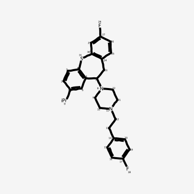 CC(C)c1ccc2c(c1)C(N1CCN(CCc3ccc(F)cc3)CC1)Cc1ccc(F)cc1S2